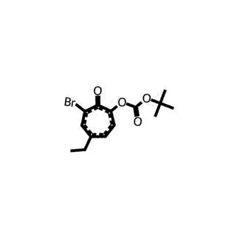 CCc1ccc(OC(=O)OC(C)(C)C)c(=O)c(Br)c1